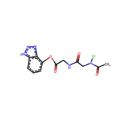 CC(=O)N(Cl)CC(=O)NCC(=O)Oc1cccc2[nH]nnc12